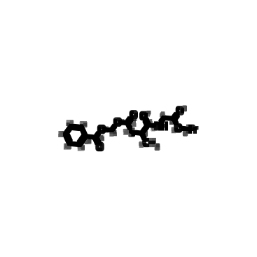 CC(C)OC(=O)CNC(=O)C(C)SC(=O)OCOC(=O)c1ccccc1